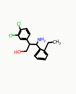 CCc1ccccc1C(N)C(CO)c1ccc(Cl)c(Cl)c1